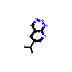 CC(C)c1cnc2nnncc2c1